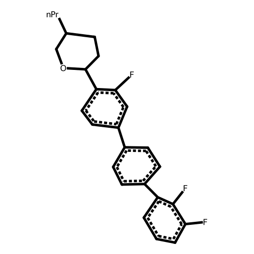 CCCC1CCC(c2ccc(-c3ccc(-c4cccc(F)c4F)cc3)cc2F)OC1